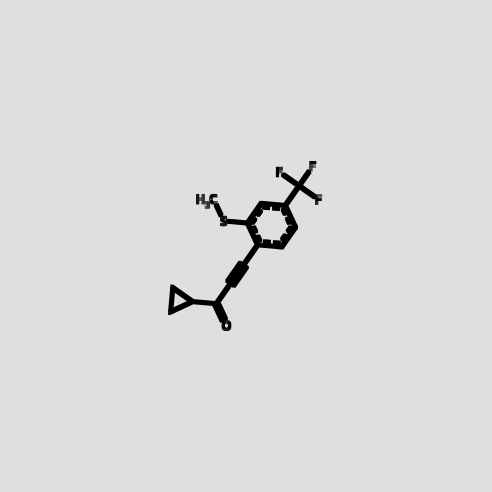 CSc1cc(C(F)(F)F)ccc1C#CC(=O)C1CC1